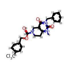 Cn1c2c(c(=O)n(Cc3ccccc3)c1=O)CN(C(=O)OCc1ccc(C(Cl)(Cl)Cl)cc1)CC2